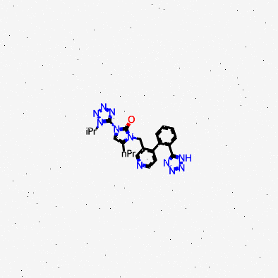 CCCc1cn(-c2nnnn2C(C)C)c(=O)n1Cc1cnccc1-c1ccccc1-c1nnn[nH]1